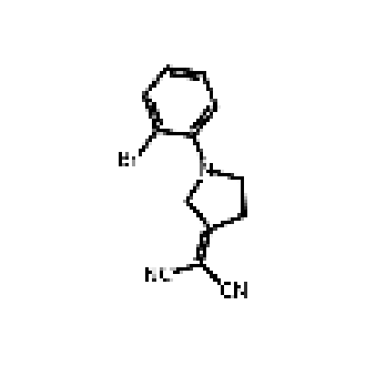 N#CC(C#N)=C1CCN(c2ccccc2Br)C1